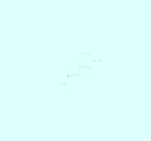 CCOC(=O)C(=NO)C(=O)Nc1ccc(Cl)c(Cl)c1[N+](=O)[O-]